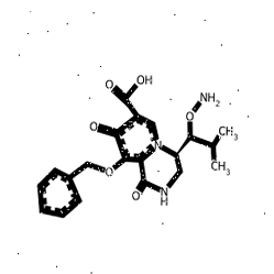 CC(C)C(ON)[C@H]1CNC(=O)c2c(OCc3ccccc3)c(=O)c(C(=O)O)cn21